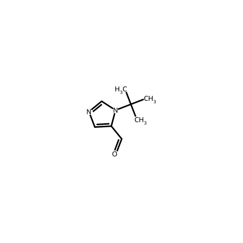 CC(C)(C)n1cncc1C=O